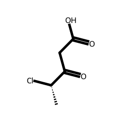 C[C@H](Cl)C(=O)CC(=O)O